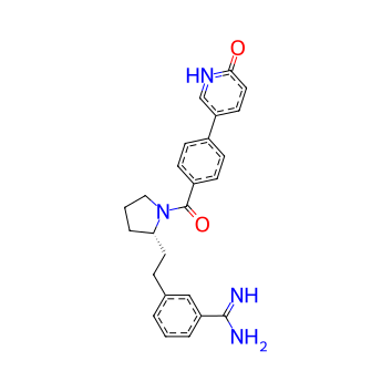 N=C(N)c1cccc(CC[C@@H]2CCCN2C(=O)c2ccc(-c3ccc(=O)[nH]c3)cc2)c1